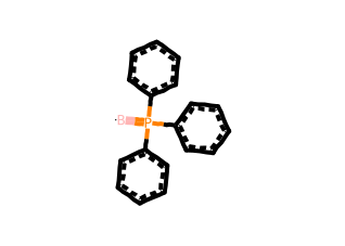 [B]=P(c1ccccc1)(c1ccccc1)c1ccccc1